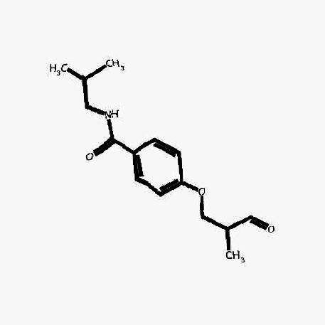 CC(C)CNC(=O)c1ccc(OCC(C)C=O)cc1